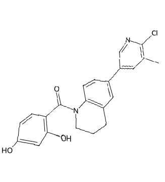 Cc1cc(-c2ccc3c(c2)CCCN3C(=O)c2ccc(O)cc2O)cnc1Cl